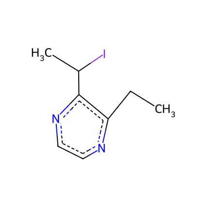 CCc1nccnc1C(C)I